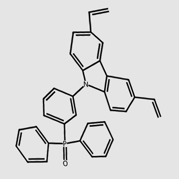 C=Cc1ccc2c(c1)c1cc(C=C)ccc1n2-c1cccc(P(=O)(c2ccccc2)c2ccccc2)c1